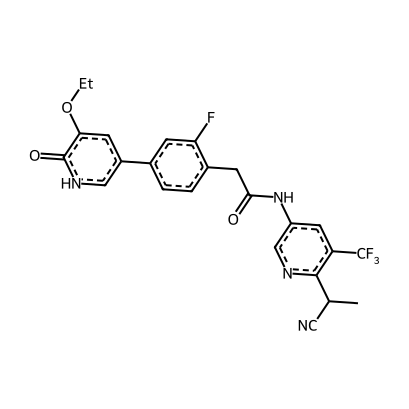 CCOc1cc(-c2ccc(CC(=O)Nc3cnc(C(C)C#N)c(C(F)(F)F)c3)c(F)c2)c[nH]c1=O